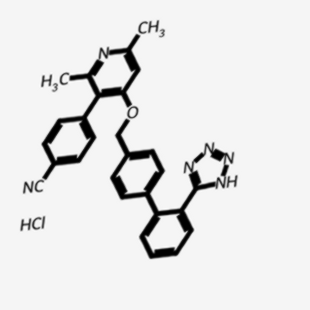 Cc1cc(OCc2ccc(-c3ccccc3-c3nnn[nH]3)cc2)c(-c2ccc(C#N)cc2)c(C)n1.Cl